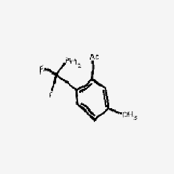 CC(=O)c1cc(C)ccc1C(F)(F)P